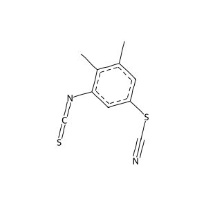 Cc1cc(SC#N)cc(N=C=S)c1C